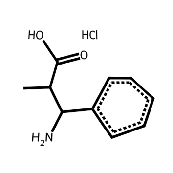 CC(C(=O)O)C(N)c1ccccc1.Cl